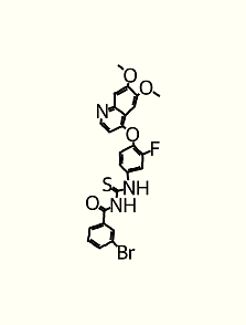 COc1cc2nccc(Oc3ccc(NC(=S)NC(=O)c4cccc(Br)c4)cc3F)c2cc1OC